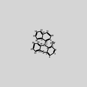 Brc1cccc2c1N(c1cccc3ccccc13)c1ccccc1S2